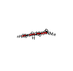 CCCOCCOCC(=O)NCCOCCOCC(=O)NCCOCCOCC(=O)NCCOCCOCC(=O)NC